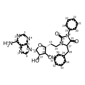 Nc1ncnc2c1ncn2[C@@H]1O[C@H](CCN2C(=O)N(c3ccccc3)C(=O)C2Cc2ccccc2)C(O)[C@H]1O